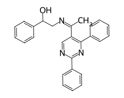 CC(=NCC(O)c1ccccc1)c1cnc(-c2ccccc2)nc1-c1ccccc1